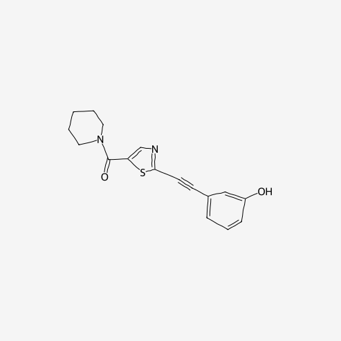 O=C(c1cnc(C#Cc2cccc(O)c2)s1)N1CCCCC1